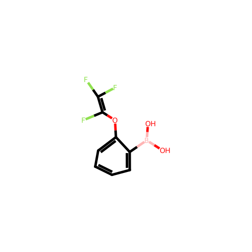 OB(O)c1ccccc1OC(F)=C(F)F